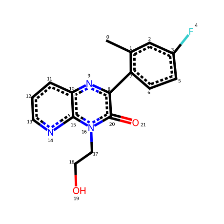 Cc1cc(F)ccc1-c1nc2cccnc2n(CCO)c1=O